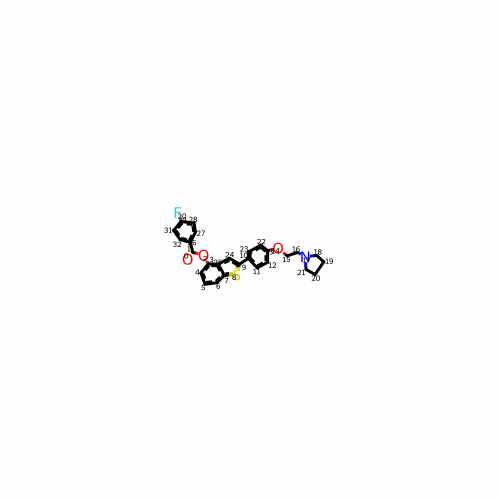 O=C(Oc1cccc2sc(-c3ccc(OCCN4CCCC4)cc3)cc12)c1ccc(F)cc1